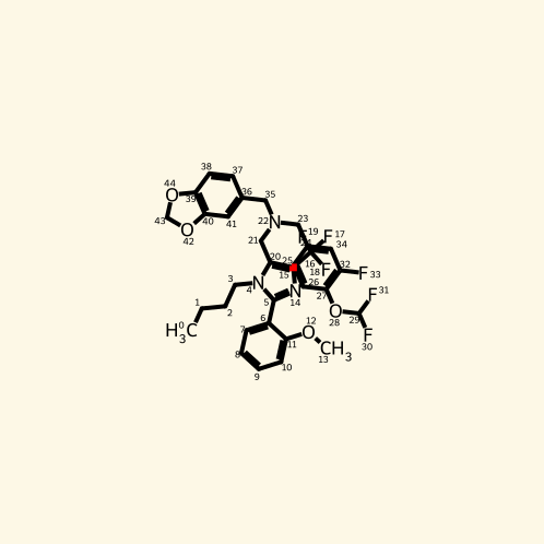 CCCCn1c(-c2ccccc2OC)nc(C(F)(F)F)c1CN(Cc1ccc(OC(F)F)c(F)c1)Cc1ccc2c(c1)OCO2